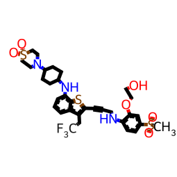 CS(=O)(=O)c1ccc(NCC#Cc2sc3c(NC4CCC(N5CCS(=O)(=O)CC5)CC4)cccc3c2CC(F)(F)F)c(OCCO)c1